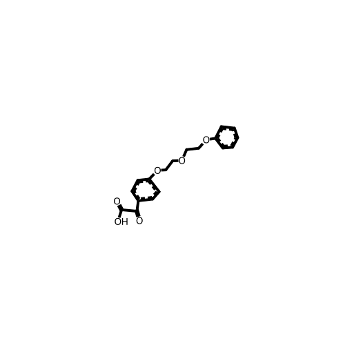 O=C(O)C(=O)c1ccc(OCCOCCOc2ccccc2)cc1